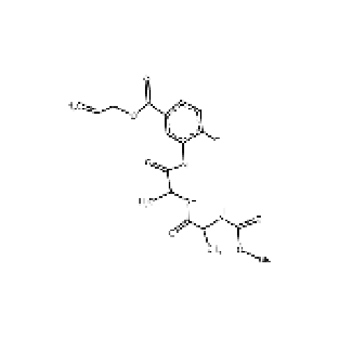 C=CCOC(=O)c1ccc(F)c(NC(=O)C(C)NC(=O)C(C)NC(=O)OC(C)(C)C)c1